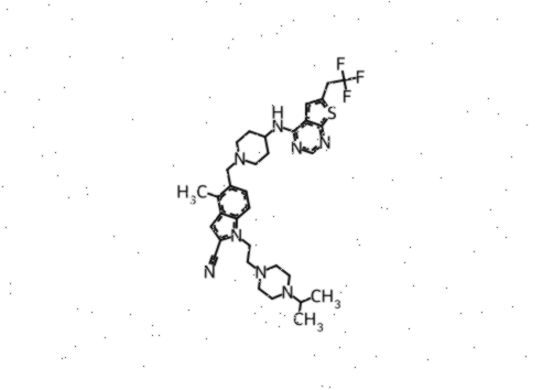 Cc1c(CN2CCC(Nc3ncnc4sc(CC(F)(F)F)cc34)CC2)ccc2c1cc(C#N)n2CCN1CCN(C(C)C)CC1